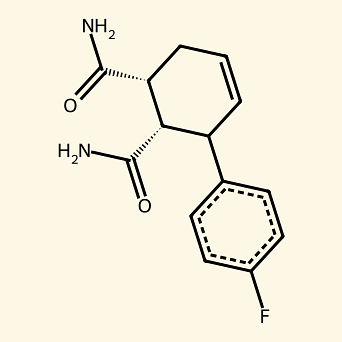 NC(=O)[C@@H]1CC=CC(c2ccc(F)cc2)[C@@H]1C(N)=O